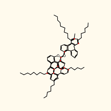 CCCCCCCCCc1ccccc1-c1cccc(OP(Oc2cccc(-c3ccccc3CCCCCCCCC)c2-c2ccccc2CCCCCCCCC)Oc2cccc(-c3ccccc3CCCCCCCCC)c2-c2ccccc2CCCCCCCCC)c1-c1ccccc1CCCCCCCCC